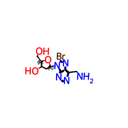 NCc1ncnc2c1nc(Br)n2[C@H]1CC(O)[C@@H](CO)O1